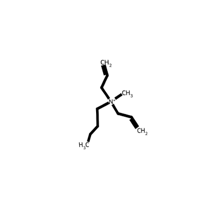 C=CC[N+](C)(CC=C)CCCC